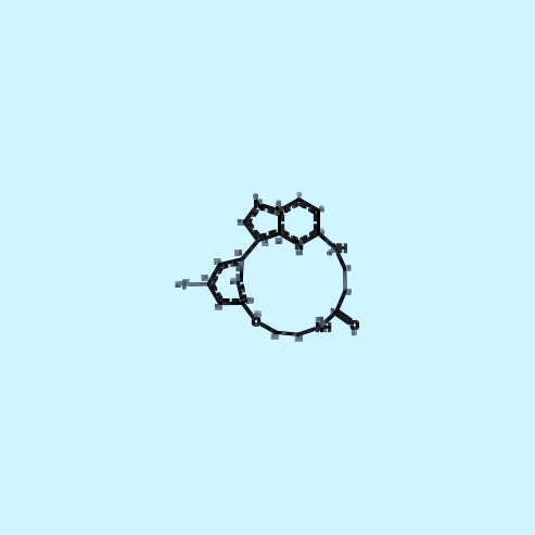 O=C1CCNc2ccn3ncc(c3n2)-c2cc(F)cc(c2)OCCN1